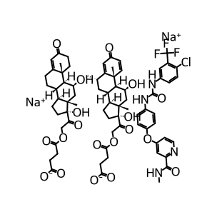 CNC(=O)c1cc(Oc2ccc(NC(=O)Nc3ccc(Cl)c(C(F)(F)F)c3)cc2)ccn1.C[C@H]1C[C@@H]2[C@H]([C@@H](O)C[C@@]3(C)[C@H]2CC[C@]3(O)C(=O)COC(=O)CCC(=O)[O-])[C@@]2(C)C=CC(=O)C=C12.C[C@]12CCC(=O)C=C1CC[C@@H]1[C@@H]2[C@@H](O)C[C@@]2(C)[C@H]1CC[C@]2(O)C(=O)COC(=O)CCC(=O)[O-].[Na+].[Na+]